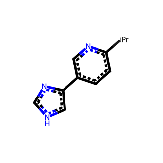 CC(C)c1ccc(-c2c[nH]cn2)cn1